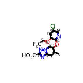 Cc1cc2nc(C(=O)O)nn2cc1Oc1ncc(Cl)cc1OCC(F)(F)F